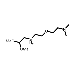 COC(C[SiH2]CCOCCN(C)C)OC